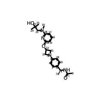 CC(=O)N[C@@H](C)c1ccc(N2CC(Oc3cccc(N(C)CC(C)(C)O)n3)C2)cc1